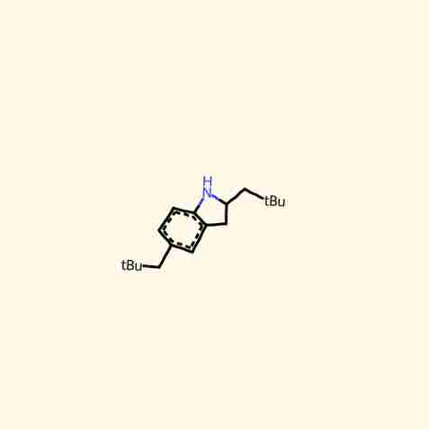 CC(C)(C)Cc1ccc2c(c1)CC(CC(C)(C)C)N2